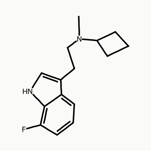 CN(CCc1c[nH]c2c(F)cccc12)C1CCC1